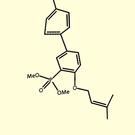 COP(=O)(OC)c1cc(-c2ccc(C)cc2)ccc1OCC=C(C)C